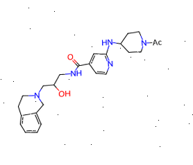 CC(=O)N1CCC(Nc2cc(C(=O)NCC(O)CN3CCc4ccccc4C3)ccn2)CC1